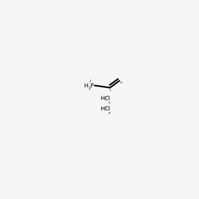 C=CP.Cl.Cl